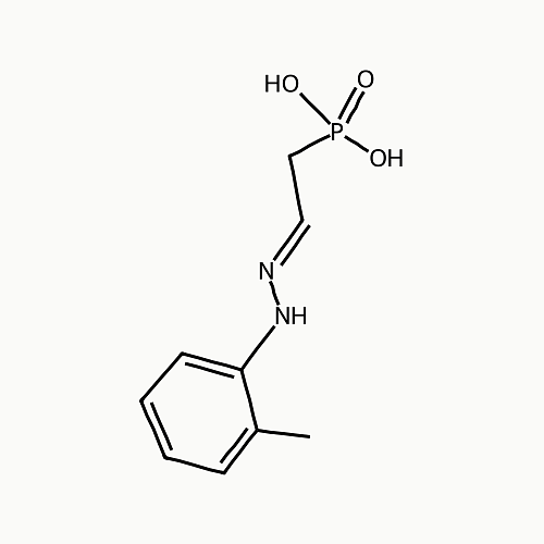 Cc1ccccc1NN=CCP(=O)(O)O